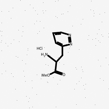 COC(=O)C(N)Cc1cccnn1.Cl